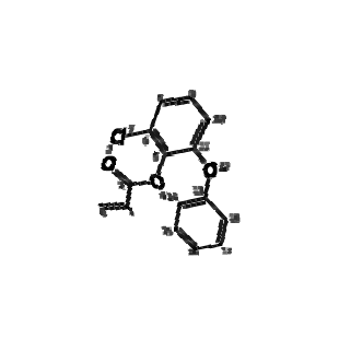 C=CC(=O)Oc1c(Cl)cccc1Oc1ccccc1